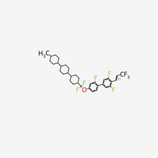 CC1CCC(C2CCC(C3CCC(C(F)(F)Oc4ccc(-c5cc(F)c(/C=C/C(F)(F)F)c(F)c5)c(F)c4)CC3)CC2)CC1